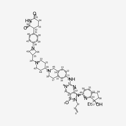 C=CCn1c(=O)c2cnc(Nc3ccc4c(c3)CCN(C3CCN(CC5CN(c6ccc(C7CCC(=O)NC7=O)cc6)C5)CC3)C4)nc2n1-c1ccc2c(n1)[C@@](O)(CC)CC2